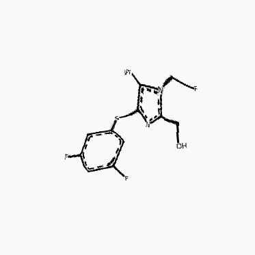 CC(C)c1c(Sc2cc(F)cc(F)c2)nc(CO)n1CF